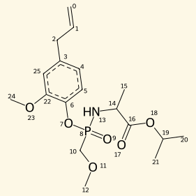 C=CCc1ccc(OP(=O)(COC)NC(C)C(=O)OC(C)C)c(OC)c1